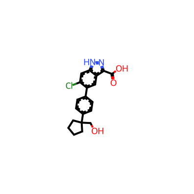 O=C(O)c1n[nH]c2cc(Cl)c(-c3ccc(C4(CO)CCCC4)cc3)cc12